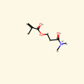 C=C(C)C(=O)OCCC(=O)N(C)C